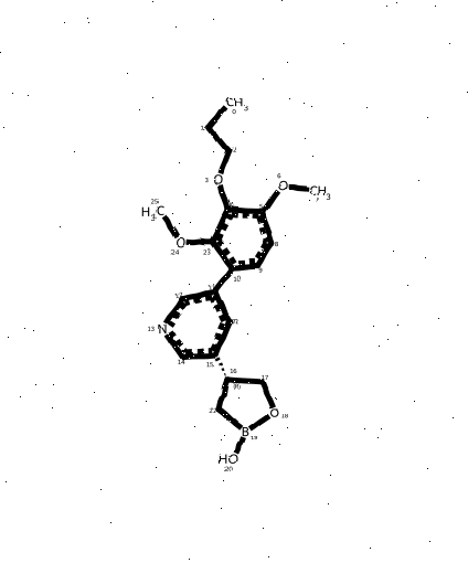 CCCOc1c(OC)ccc(-c2cncc([C@@H]3COB(O)C3)c2)c1OC